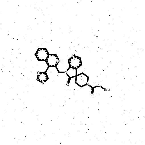 CC(C)(C)OC(=O)N1CCC2(CC1)C(=O)N(Cc1ncc3ccccc3c1-c1cnco1)c1cnccc12